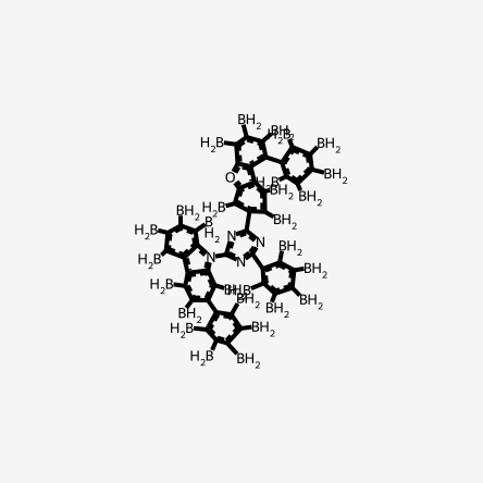 Bc1c(B)c(B)c(-c2nc(-c3c(B)c(B)c4c(oc5c(B)c(B)c(B)c(-c6c(B)c(B)c(B)c(B)c6B)c54)c3B)nc(-n3c4c(B)c(B)c(B)c(B)c4c4c(B)c(B)c(-c5c(B)c(B)c(B)c(B)c5B)c(B)c43)n2)c(B)c1B